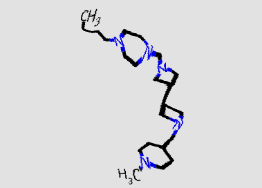 CCCCN1CCN(CN2CC(C3CN(CC4CCN(C)CC4)C3)C2)CC1